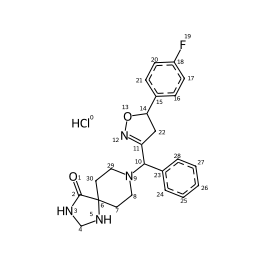 Cl.O=C1NCNC12CCN(C(C1=NOC(c3ccc(F)cc3)C1)c1ccccc1)CC2